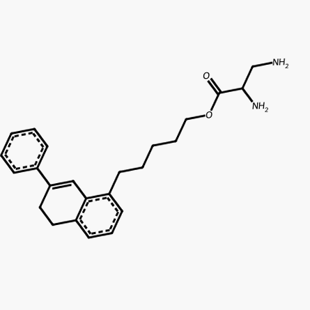 NCC(N)C(=O)OCCCCCc1cccc2c1C=C(c1ccccc1)CC2